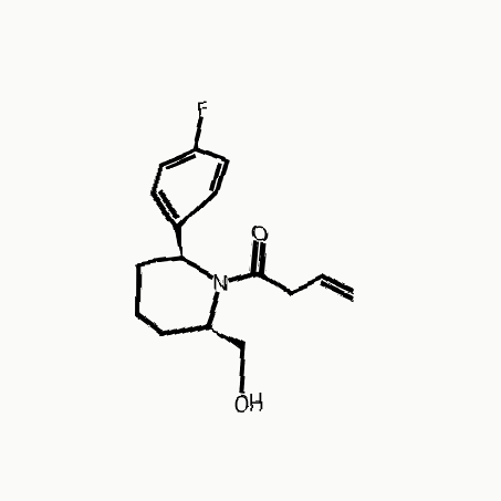 C=CCC(=O)N1[C@@H](CO)CCC[C@H]1c1ccc(F)cc1